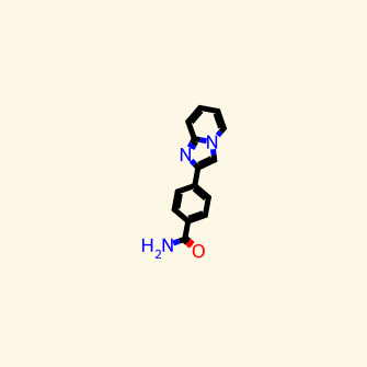 NC(=O)c1ccc(-c2cn3ccccc3n2)cc1